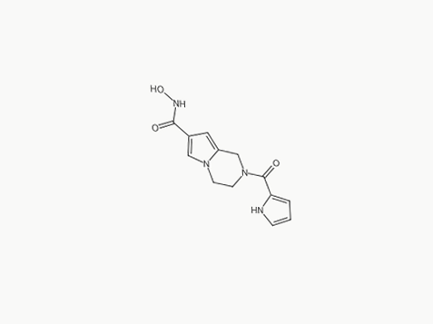 O=C(NO)c1cc2n(c1)CCN(C(=O)c1ccc[nH]1)C2